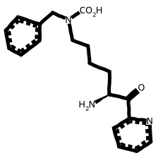 N[C@@H](CCCCN(Cc1ccccc1)C(=O)O)C(=O)c1ccccn1